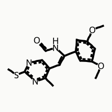 COc1cc(OC)cc(/C(=C/c2cnc(SC)nc2C)NC=O)c1